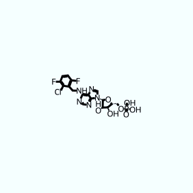 O=P(O)(O)OC[C@H]1O[C@@H](n2cnc3c(NCc4c(F)ccc(F)c4Cl)ncnc32)[C@H](O)[C@@H]1O